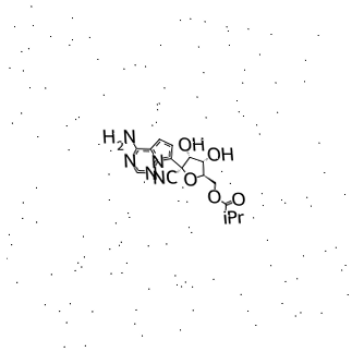 CC(C)C(=O)OC[C@H]1O[C@@](C#N)(c2ccc3c(N)ncnn23)[C@H](O)[C@@H]1O